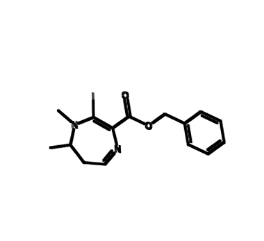 CC1CC=NC(C(=O)OCc2ccccc2)=C(I)N1C